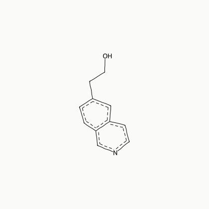 OCCc1ccc2cnccc2c1